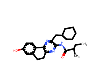 CCC(C)C(=O)Nc1nc2c(nc1CC1CCCCC1)-c1ccc(O)cc1CC2